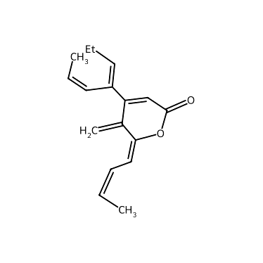 C=c1c(C(/C=C\C)=C/CC)cc(=O)o/c1=C/C=C\C